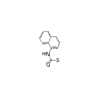 O=C([S])Nc1cccc2ccccc12